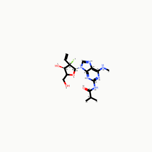 C=C[C@@]1(F)[C@H](O)C(CO)O[C@H]1n1cnc2c(NC)nc(NC(=O)C(C)C)nc21